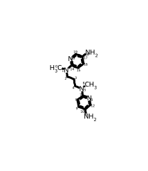 CN(CCCN(C)c1ccc(N)cn1)c1ccc(N)cn1